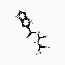 CCC(OC(=O)c1cc2occc2[nH]1)OC(=O)C(C)C